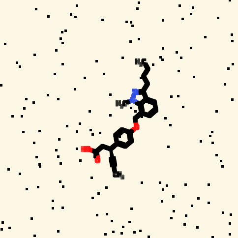 CC#C[C@@H](CC(=O)O)c1ccc(OCc2cccc3c(CCCC)nn(C)c23)cc1